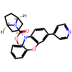 CC(C)(C)OC(=O)N1[C@@H]2CC[C@H]1C[C@H](N1c3ccccc3Oc3cc(-c4ccncc4)ccc31)C2